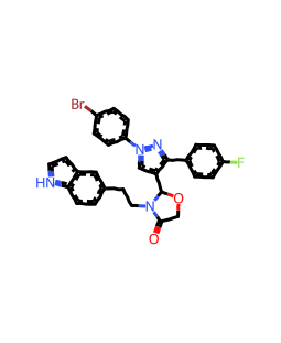 O=C1COC(c2cn(-c3ccc(Br)cc3)nc2-c2ccc(F)cc2)N1CCc1ccc2[nH]ccc2c1